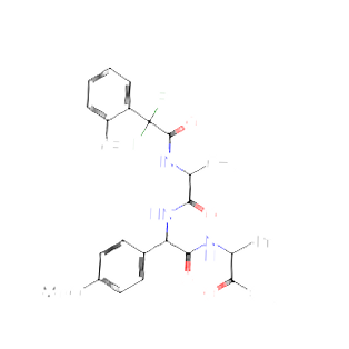 COc1ccc(C(NC(=O)C(C)NC(=O)C(F)(F)c2ccccc2C(F)(F)F)C(=O)NC(C(=O)C(F)(F)F)C(C)C)cc1